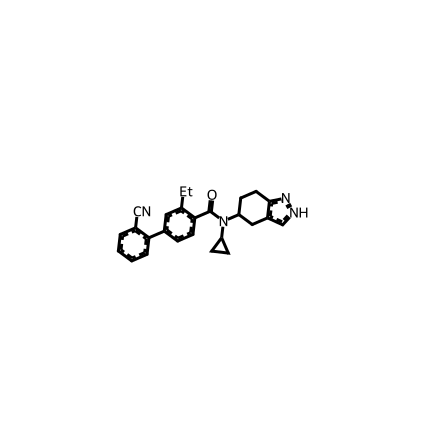 CCc1cc(-c2ccccc2C#N)ccc1C(=O)N(C1CC1)C1CCc2n[nH]cc2C1